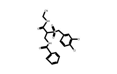 N#CCNC(=O)C(CNC(=O)c1ccccc1)S(=O)(=O)Cc1ccc(Cl)c(Cl)c1